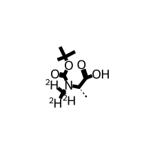 [2H]C([2H])([2H])N(C(=O)OC(C)(C)C)[C@@H](C)C(=O)O